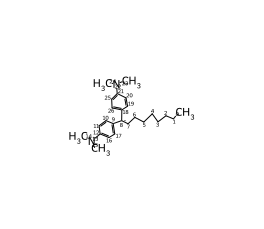 CCCCCCCC[C](c1ccc(N(C)C)cc1)c1ccc(N(C)C)cc1